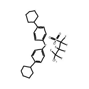 O=S(=O)([O-])C(F)(F)C(F)(F)C(F)(F)C(F)(F)F.c1cc(C2CCCCC2)ccc1[I+]c1ccc(C2CCCCC2)cc1